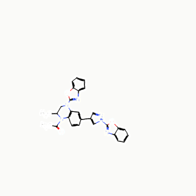 CC(=O)N1c2ccc(-c3cnn(-c4nc5ccccc5o4)c3)cc2N(c2nc3ccccc3o2)CC1C